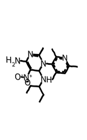 CCC(CC)NC1C([N+](=O)[O-])=C(N)N=C(C)N1c1c(C)cc(C)nc1C